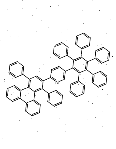 c1ccc(-c2c(-c3ccccc3)c(-c3ccccc3)c(-c3ccc(-c4cc(-c5ccccc5)c5c6ccccc6c6ccccc6c5c4-c4ccccc4)nc3)c(-c3ccccc3)c2-c2ccccc2)cc1